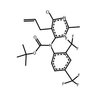 C=CCc1c(Cl)nc(C)nc1N(C(=O)OC(C)(C)C)c1ccc(C(F)(F)F)cc1C(F)(F)F